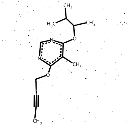 CC#CCOc1ncnc(OC(C)C(C)C)c1C